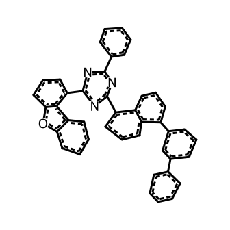 c1ccc(-c2cccc(-c3cccc4c(-c5nc(-c6ccccc6)nc(-c6cccc7oc8ccccc8c67)n5)cccc34)c2)cc1